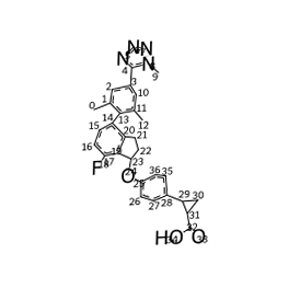 Cc1cc(-c2nnnn2C)cc(C)c1-c1ccc(F)c2c1CCC2Oc1ccc(C2CC2C(=O)O)cc1